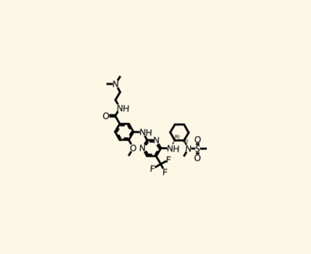 COc1ccc(C(=O)NCCN(C)C)cc1Nc1ncc(C(F)(F)F)c(N[C@@H]2CCCC[C@H]2N(C)S(C)(=O)=O)n1